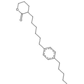 CCCCCc1ccc(CCCCCCC2CCCOC2=O)cc1